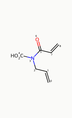 C=CCN(C(=O)O)C(=O)C=C